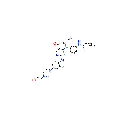 C=CC(=O)Nc1cccc(-n2c(C#N)cc(=O)c3cnc(Nc4ccc(N5CCN(CCO)CC5)cc4F)nc32)c1